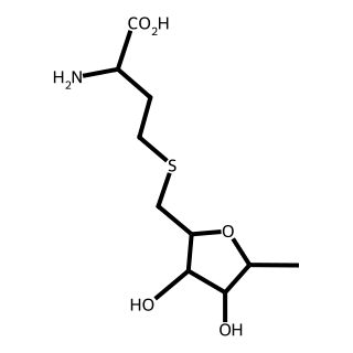 CC1OC(CSCCC(N)C(=O)O)C(O)C1O